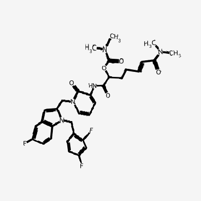 CN(C)C(=O)/C=C/CCC(OC(=O)N(C)C)C(=O)Nc1cccn(Cc2cc3cc(F)ccc3n2Cc2ccc(F)cc2F)c1=O